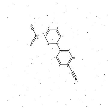 N#Cc1ccc(-c2cccc([N+](=O)[O-])c2)cc1